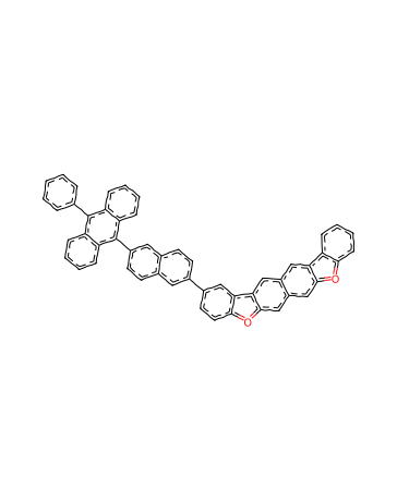 c1ccc(-c2c3ccccc3c(-c3ccc4cc(-c5ccc6oc7cc8cc9oc%10ccccc%10c9cc8cc7c6c5)ccc4c3)c3ccccc23)cc1